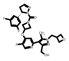 Cc1c(-c2cc(OC3CN(C(=O)N4N=CC[C@H]4c4cc(F)cc(F)c4)C3)c(F)cn2)c(CO)nn1CC1COC1